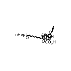 CC#CCOc1ccc(C[C@H](NC(=O)[C@@H](C=CCCCCCCC(=O)CCCCCCC)[C@](C)(O)C(=O)O)C(=O)O)cc1